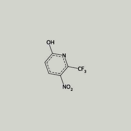 O=[N+]([O-])c1ccc(O)nc1C(F)(F)F